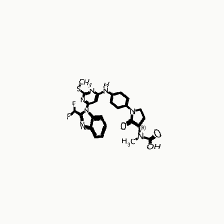 CSc1nc(NC2CCC(N3CC[C@@H](N(C)C(=O)O)C3=O)CC2)cc(-n2c(C(F)F)nc3ccccc32)n1